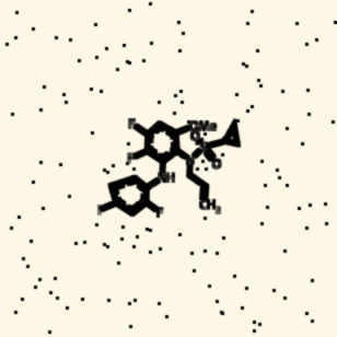 C=CCN(c1c(OC)cc(F)c(F)c1Nc1ccc(I)cc1F)S(=O)(=O)C1CC1